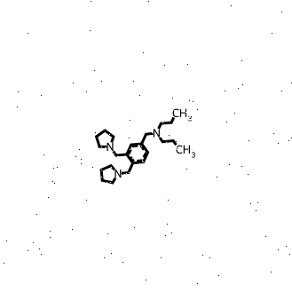 CCCN(CCC)Cc1ccc(CN2CCCC2)c(CN2CCCC2)c1